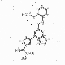 CC(C)(C)[S+]([O-])C(=N)c1cc(-c2cc(COc3ccccc3CC(=O)O)cc3ccoc23)co1